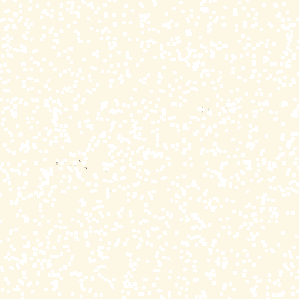 CCCCCOc1ccc(C(=O)NC)cc1